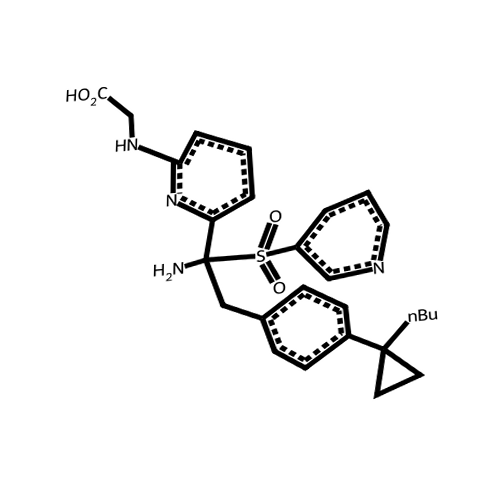 CCCCC1(c2ccc(CC(N)(c3cccc(NCC(=O)O)n3)S(=O)(=O)c3cccnc3)cc2)CC1